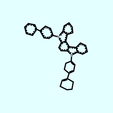 C1=C(C2=CC=C(n3c4ccccc4c4c5c6ccccc6n(-c6ccc(-c7ccccc7)cc6)c5ccc43)CC2)CCCC1